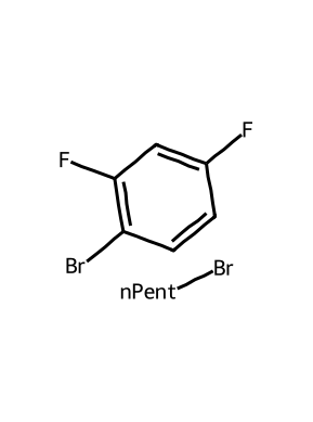 CCCCCBr.Fc1ccc(Br)c(F)c1